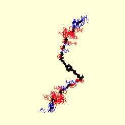 CC(C)(CCCCCc1ccc(CCCCC2(C(=O)CCNC(=O)CCNC(=O)C(O)C(C)(C)COP(=O)(O)OP(=O)(O)OCC3OC(n4cnc5c(N)ncnc54)C(O)C3OP(=O)(O)O)CC2)cc1)C(=O)CCNC(=O)CCNC(=O)C(O)C(C)(C)COP(=O)(O)OP(=O)(O)OCC1OC(n2cnc3c(N)ncnc32)C(O)C1OP(=O)(O)O